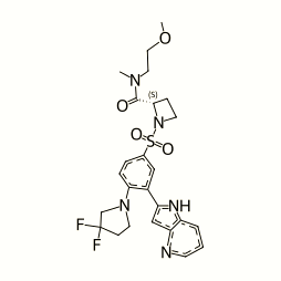 COCCN(C)C(=O)[C@@H]1CCN1S(=O)(=O)c1ccc(N2CCC(F)(F)C2)c(-c2cc3ncccc3[nH]2)c1